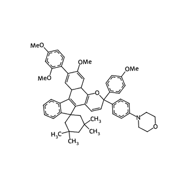 COC1=CC2C3=C(C=CC(c4ccc(OC)cc4)(c4ccc(N5CCOCC5)cc4)O3)C3=C(c4ccccc4C34CC(C)(C)CC(C)(C)C4)C2C=C1c1ccc(OC)cc1OC